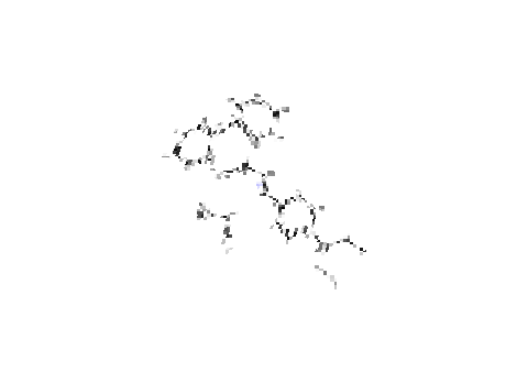 CCN(CC)c1ccc(/C=C/C(=O)c2ccccc2-c2ccccn2)cc1.O=CO